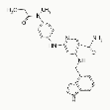 CCC(=O)N(C)c1ccc(Nc2cc(NCc3cccc4[nH]ccc34)c(C(N)=O)cn2)cc1